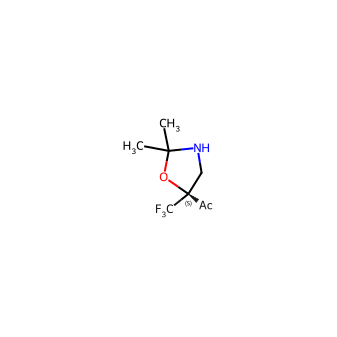 CC(=O)[C@]1(C(F)(F)F)CNC(C)(C)O1